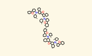 Cc1cccc(N(c2cc3c4cc(N(c5cccc(C)c5)c5cccc6c5oc5cc(-c7ccc8c(c7)oc7c(N(c9ccccc9C)c9cc%10c%11cc(N(c%12ccccc%12C)c%12cccc%13c%12oc%12ccccc%12%13)c%12ccccc%12c%11oc%10c%10ccccc9%10)cccc78)ccc56)c5ccccc5c4oc3c3ccccc23)c2cccc3c2oc2ccccc23)c1